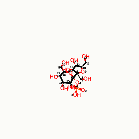 O=P(O)(O)O[C@@]1([C@@]2(CO)O[C@H](CO)[C@@H](O)[C@@H]2O)O[C@H](CO)[C@@H](O)[C@H](O)[C@H]1O